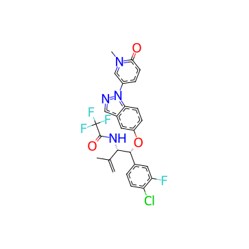 C=C(C)[C@H](NC(=O)C(F)(F)F)[C@H](Oc1ccc2c(cnn2-c2ccc(=O)n(C)c2)c1)c1ccc(Cl)c(F)c1